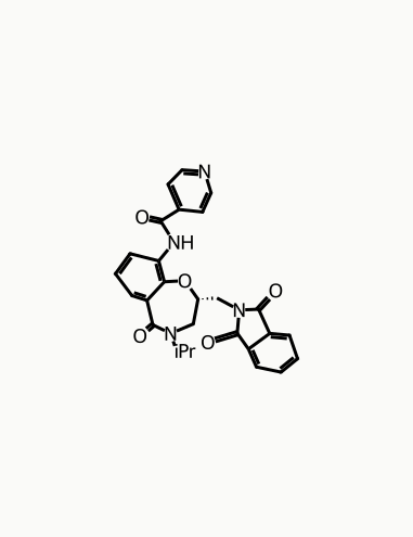 CC(C)N1C[C@@H](CN2C(=O)c3ccccc3C2=O)Oc2c(NC(=O)c3ccncc3)cccc2C1=O